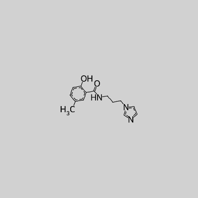 Cc1ccc(O)c(C(=O)NCCCn2ccnc2)c1